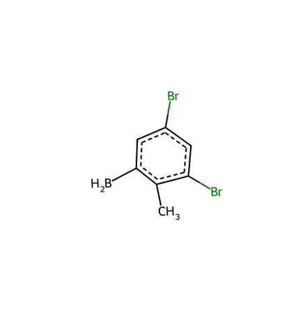 Bc1cc(Br)cc(Br)c1C